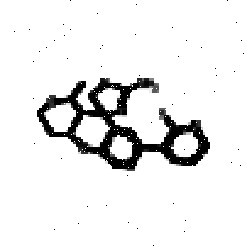 CC1OCCC2Oc3ccc(-c4cccnc4F)cc3C3(CSC(N)=N3)C12